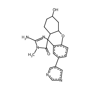 CN1C(=O)C2(N=C1N)c1cc(-c3cncnc3)ccc1OC1CC(O)CCC12